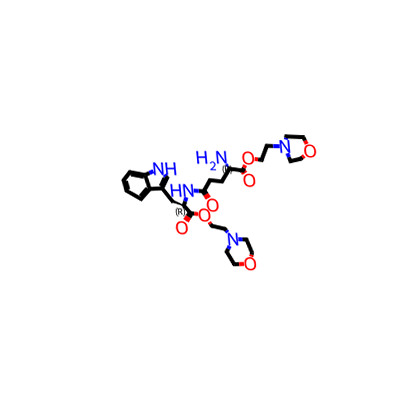 N[C@H](CCC(=O)N[C@H](Cc1c[nH]c2ccccc12)C(=O)OCCN1CCOCC1)C(=O)OCCN1CCOCC1